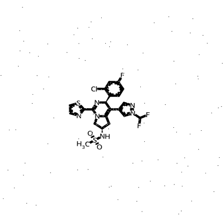 CS(=O)(=O)N[C@H]1CC2=C(c3cnn(C(F)F)c3)[C@H](c3ccc(F)cc3Cl)N=C(c3nccs3)N2C1